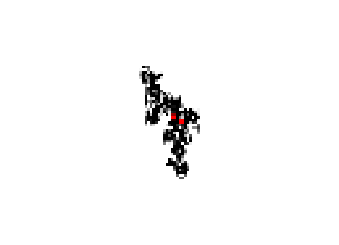 CC[C@@H]1COCCN1c1ccc(NC(=O)[C@@H](NC(=O)c2ccnn2C)C(C2CCC2Cn2nccc2C(=O)N[C@H](C(=O)Nc2ccc(N3CCOCC3C(C)C)nc2)C(C2CCC2)C2(C)CC2)C2(C)CC2)cn1